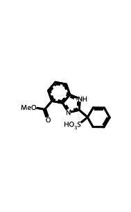 COC(=O)c1cccc2[nH]c(C3(S(=O)(=O)O)C=CC=CC3)nc12